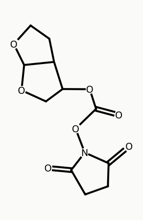 O=C(OC1COC2OCCC12)ON1C(=O)CCC1=O